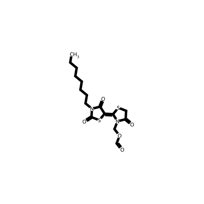 CCCCCCCCN1C(=O)S/C(=C2/SCC(=O)N2COC=O)C1=O